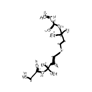 CCC(CC)(CCSCCC(CC)(CC)OC(=O)CS)OC(=O)CS